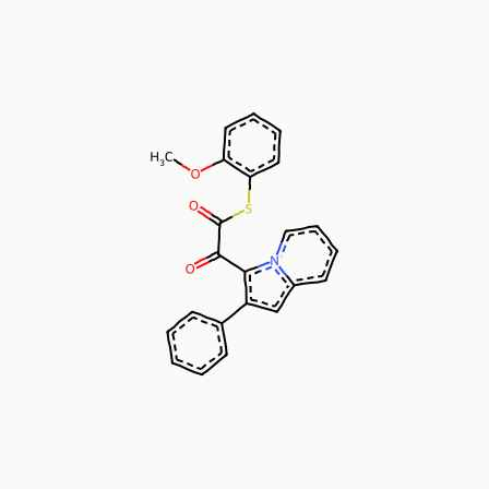 COc1ccccc1SC(=O)C(=O)c1c(-c2ccccc2)cc2ccccn12